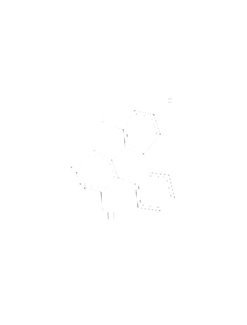 Cc1nncc(-c2c(F)cc(F)cc2F)c1-c1ccccc1